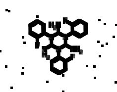 NC1N(c2ccccc2F)C(N)N(c2ccccc2F)C(N)N1c1ccccc1F